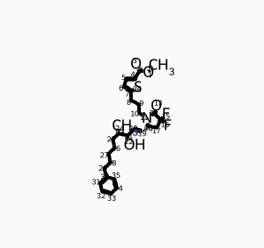 COC(=O)c1ccc(CCCN2C(=O)C(F)(F)C[C@@H]2/C=C/C(O)[C@@H](C)CCCCCc2ccccc2)s1